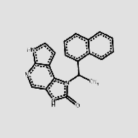 CC(c1cccc2ccccc12)n1c(=O)[nH]c2cnc3[nH]ccc3c21